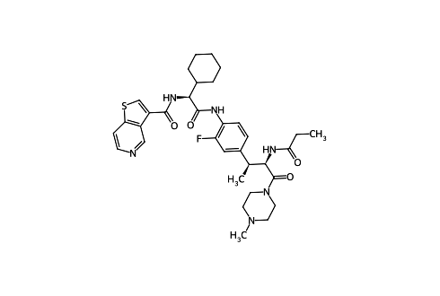 CCC(=O)N[C@@H](C(=O)N1CCN(C)CC1)[C@@H](C)c1ccc(NC(=O)[C@@H](NC(=O)c2csc3ccncc23)C2CCCCC2)c(F)c1